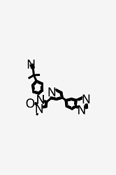 Cn1cc(-c2cc(-c3ccc4ncncc4c3)ccn2)n(-c2ccc(C(C)(C)C#N)cc2)c1=O